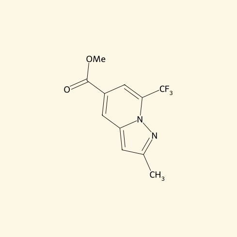 COC(=O)c1cc(C(F)(F)F)n2nc(C)cc2c1